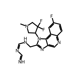 CN1CC(n2c(CN/C=N\C=N)nc3cnc4ccc(F)cc4c32)C(F)(F)C1